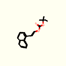 CC(C)(C)OC(=O)OC=Cc1cccc2ccccc12